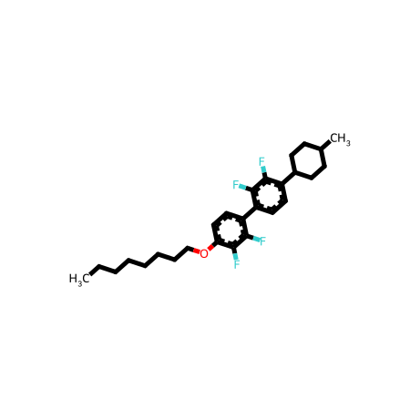 CCCCCCCCOc1ccc(-c2ccc(C3CCC(C)CC3)c(F)c2F)c(F)c1F